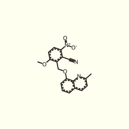 COc1ccc([N+](=O)[O-])c(C#N)c1COc1cccc2ccc(C)nc12